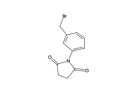 O=C1CCC(=O)N1c1cccc(CBr)c1